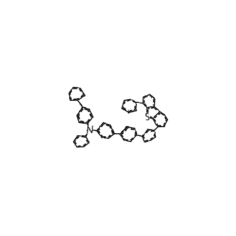 c1ccc(-c2ccc(N(c3ccccc3)c3ccc(-c4ccc(-c5cccc(-c6cccc7c6sc6c(-c8ccccc8)cccc67)c5)cc4)cc3)cc2)cc1